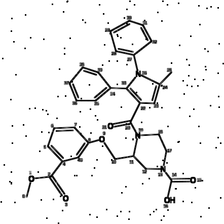 COC(=O)c1cccc(OCC2CN(C(=O)O)CCN2C(=O)c2cc(C)n(-c3ccccc3)c2-c2ccccc2)c1